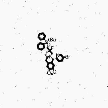 C[C@@H]1Cc2cc3c(cc2[C@@H](c2ccc(Br)cn2)N1CC(F)(F)CO[Si](c1ccccc1)(c1ccccc1)C(C)(C)C)OCO3